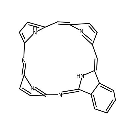 C1=Cc2cc3[nH]c(nc4nc(nc5ccc(cc1n2)[nH]5)C=C4)c1ccccc31